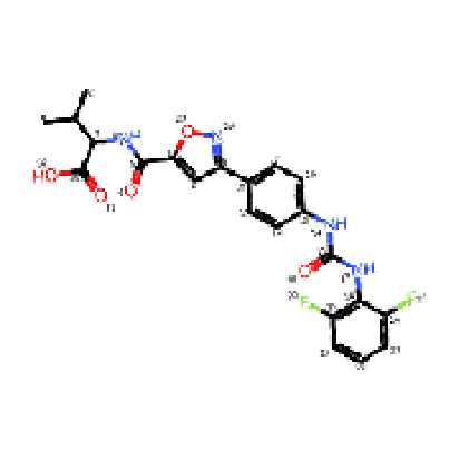 CC(C)C(NC(=O)c1cc(-c2ccc(NC(=O)Nc3c(F)cccc3F)cc2)no1)C(=O)O